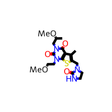 COCCn1c(=O)n(CC(C)OC)c(=O)c2c(C)c(CN3CCNC3=O)sc21